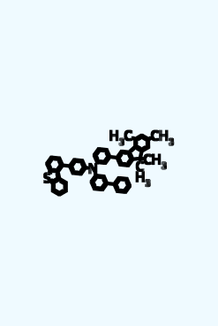 Cc1cc(C)c2c(c1)C(C)(C)c1ccc(-c3cccc(N(c4ccc(-c5cccc6sc7ccccc7c56)cc4)c4cccc(-c5ccccc5)c4)c3)cc1-2